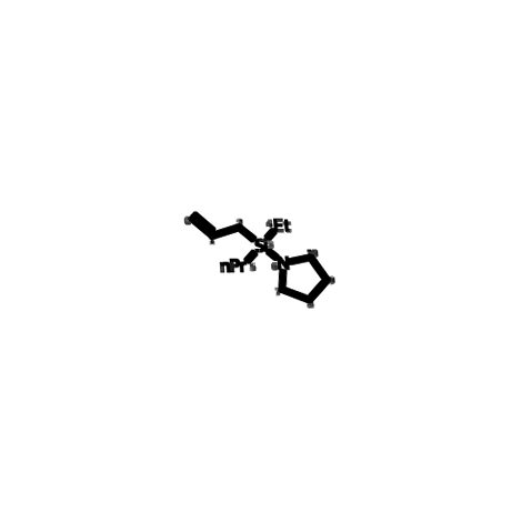 C=CC[Si](CC)(CCC)N1CCCC1